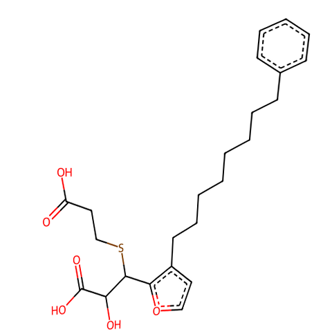 O=C(O)CCSC(c1occc1CCCCCCCCc1ccccc1)C(O)C(=O)O